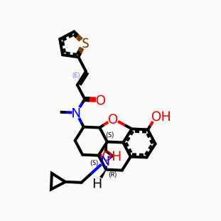 CN(C(=O)/C=C/c1cccs1)C1CC[C@@]2(O)[C@H]3Cc4ccc(O)c5c4[C@@]2(CCN3CC2CC2)C1O5